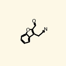 N#CCc1c(C=O)oc2ccccc12